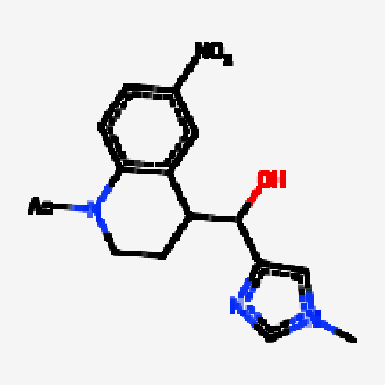 CC(=O)N1CCC(C(O)c2cn(C)cn2)c2cc([N+](=O)[O-])ccc21